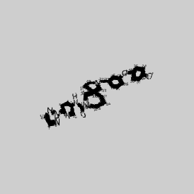 O=C(Nc1ccc(-n2nccn2)nc1)N1CCCC2(CCN(Cc3cccc(Oc4ccc(Cl)cc4)c3)C2)C1